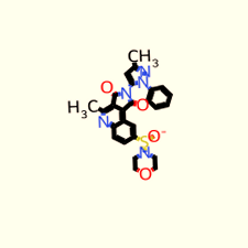 Cc1cc(N2C(=O)c3c(C)nc4ccc([S+]([O-])N5CCOCC5)cc4c3C2=O)n(-c2ccccc2)n1